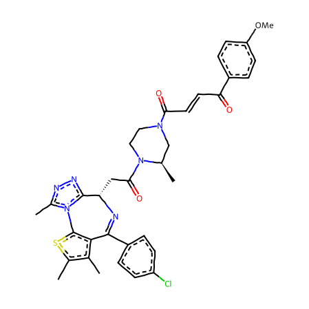 COc1ccc(C(=O)/C=C/C(=O)N2CCN(C(=O)C[C@@H]3N=C(c4ccc(Cl)cc4)c4c(sc(C)c4C)-n4c(C)nnc43)[C@H](C)C2)cc1